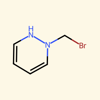 BrCN1C=CC=CN1